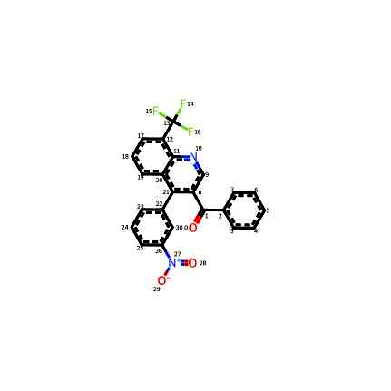 O=C(c1ccccc1)c1cnc2c(C(F)(F)F)cccc2c1-c1cccc([N+](=O)[O-])c1